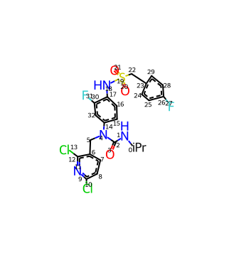 CC(C)NC(=O)N(Cc1ccc(Cl)nc1Cl)c1ccc(NS(=O)(=O)Cc2ccc(F)cc2)c(F)c1